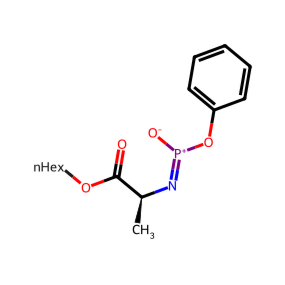 CCCCCCOC(=O)[C@H](C)N=[P+]([O-])Oc1ccccc1